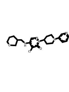 O=c1c(Cl)c(NCC2CCCOC2)cnn1C1CCN(c2cccnc2)CC1